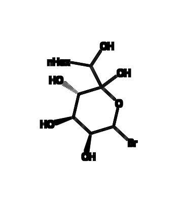 CCCCCCC(O)C1(O)OC(Br)[C@@H](O)[C@@H](O)[C@@H]1O